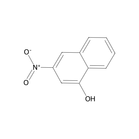 O=[N+]([O-])c1cc(O)c2ccccc2c1